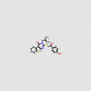 C=C(C)Cn1c(SCC(=O)c2ccc(O)cc2)nc2sc3c(c2c1=O)CCCC3